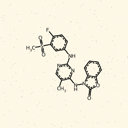 Cc1cnc(Nc2ccc(F)c(S(C)(=O)=O)c2)nc1Nn1c(=O)oc2ccccc21